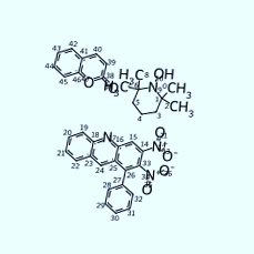 CC1(C)CCCC(C)(C)N1O.O=[N+]([O-])c1cc2nc3ccccc3cc2c(-c2ccccc2)c1[N+](=O)[O-].O=c1ccc2ccccc2o1